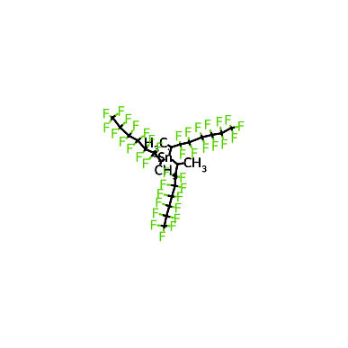 C[CH]([3Sn]([CH](C)C(F)(F)C(F)(F)C(F)(F)C(F)(F)C(F)(F)C(F)(F)F)[CH](C)C(F)(F)C(F)(F)C(F)(F)C(F)(F)C(F)(F)C(F)(F)F)C(F)(F)C(F)(F)C(F)(F)C(F)(F)C(F)(F)C(F)(F)F